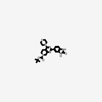 CC(C)(C)OC(=O)N1CCc2c(nc(-c3ccc4[nH]c(=O)[nH]c4c3)nc2N2CCOCC2)C1